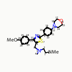 CNCCN(C)Cc1sc(-c2ccc(N3CCOCC3)cc2)nc1-c1ccc(OC)cc1